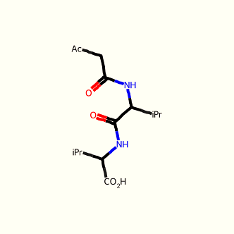 CC(=O)CC(=O)NC(C(=O)NC(C(=O)O)C(C)C)C(C)C